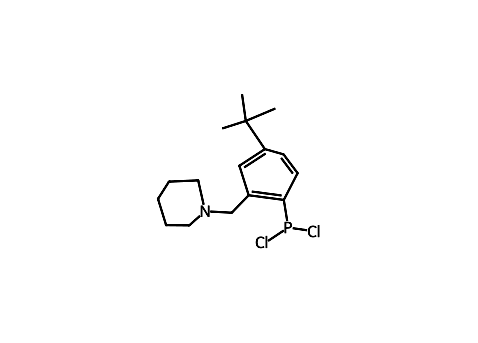 CC(C)(C)c1ccc(P(Cl)Cl)c(CN2CCCCC2)c1